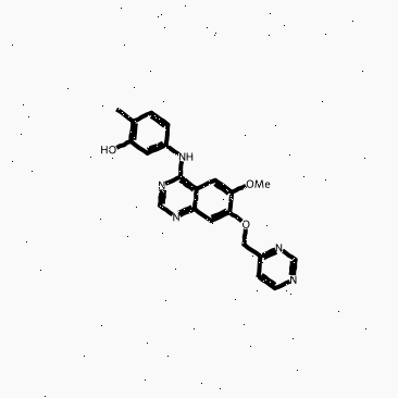 COc1cc2c(Nc3ccc(C)c(O)c3)ncnc2cc1OCc1ccncn1